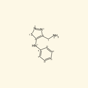 NCc1nnsc1Nc1ccccc1